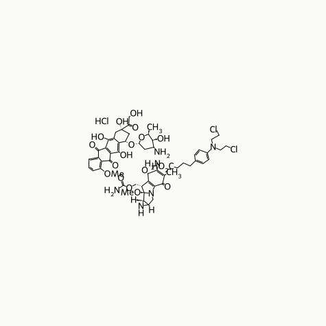 CO[C@@]12[C@H](COC(N)=O)C3=C(C(=O)C(C)=C(N)C3=O)N1C[C@@H]1N[C@@H]12.COc1cccc2c1C(=O)c1c(O)c3c(c(O)c1C2=O)C[C@@](O)(C(=O)CO)C[C@@H]3O[C@H]1C[C@H](N)[C@H](O)[C@H](C)O1.Cl.O=C(O)CCCc1ccc(N(CCCl)CCCl)cc1